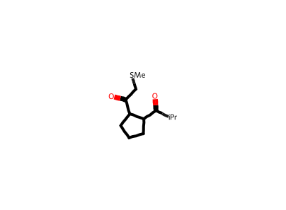 CSCC(=O)C1CCCC1C(=O)C(C)C